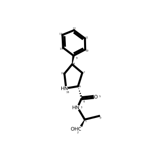 C[C@@H](C=O)NC(=O)[C@H]1C[C@H](c2ccccc2)CN1